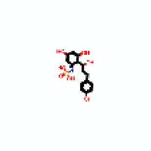 O=P(O)(O)N=C1C=C(O)C=C(O)C1C(O)CCc1ccc(O)cc1